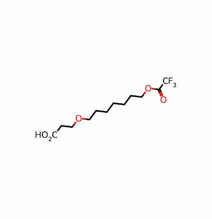 O=C(O)CCOCCCCCCCOC(=O)C(F)(F)F